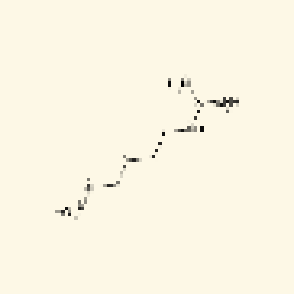 N=C(N)NCCCC[N]C(=O)O